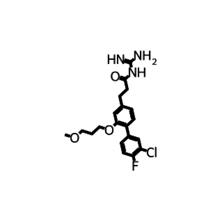 COCCCOc1cc(CCC(=O)NC(=N)N)ccc1-c1ccc(F)c(Cl)c1